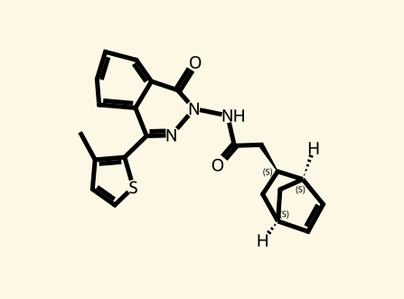 Cc1ccsc1-c1nn(NC(=O)C[C@@H]2C[C@@H]3C=C[C@H]2C3)c(=O)c2ccccc12